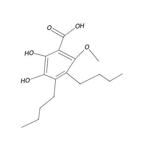 CCCCc1c(O)c(O)c(C(=O)O)c(OC)c1CCCC